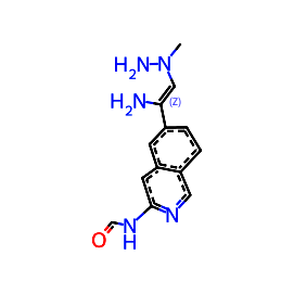 CN(N)/C=C(\N)c1ccc2cnc(NC=O)cc2c1